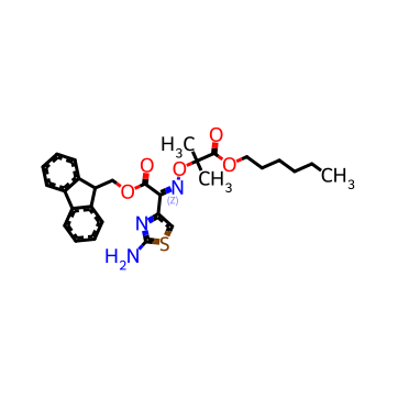 CCCCCCOC(=O)C(C)(C)O/N=C(\C(=O)OCC1c2ccccc2-c2ccccc21)c1csc(N)n1